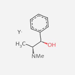 CN[C@@H](C)[C@H](O)c1ccccc1.[Y]